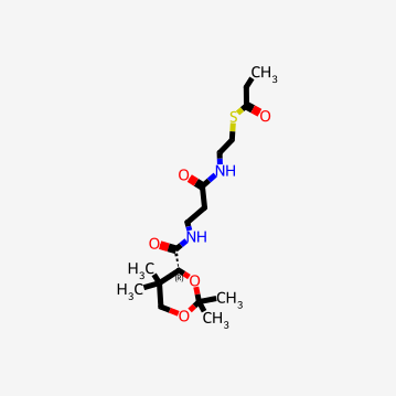 CCC(=O)SCCNC(=O)CCNC(=O)[C@@H]1OC(C)(C)OCC1(C)C